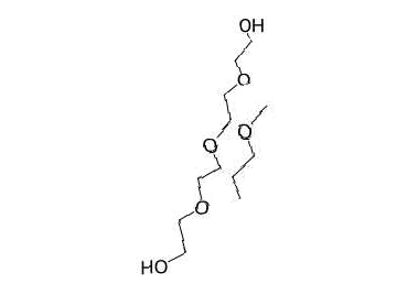 CCCOC.OCCOCCOCCOCCO